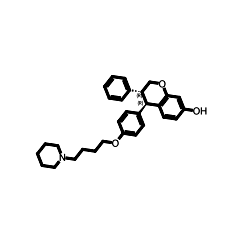 Oc1ccc2c(c1)OC[C@@H](c1ccccc1)[C@@H]2c1ccc(OCCCCN2CCCCC2)cc1